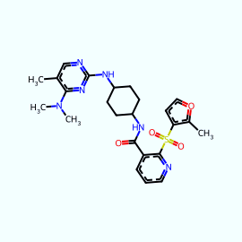 Cc1cnc(NC2CCC(NC(=O)c3cccnc3S(=O)(=O)c3ccoc3C)CC2)nc1N(C)C